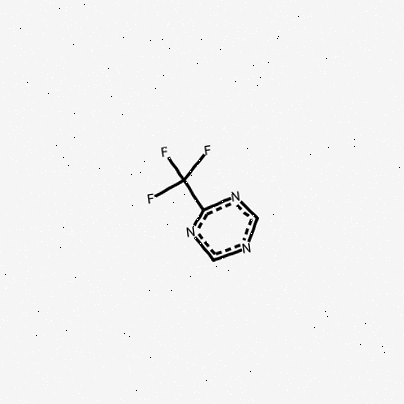 FC(F)(F)c1ncncn1